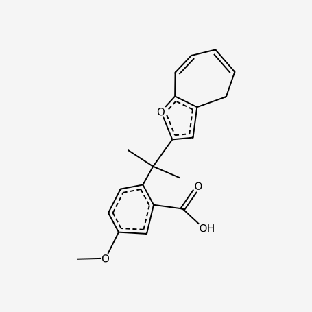 COc1ccc(C(C)(C)c2cc3c(o2)C=CC=CC3)c(C(=O)O)c1